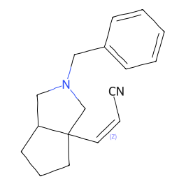 N#C/C=C\C12CCCC1CN(Cc1ccccc1)C2